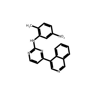 Cc1ccc([N+](=O)[O-])cc1Nc1nccc(-c2cncc3ccccc23)n1